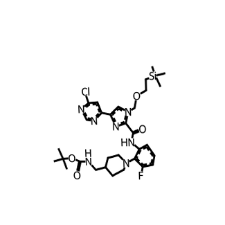 CC(C)(C)OC(=O)NCC1CCN(c2c(F)cccc2NC(=O)c2nc(-c3cc(Cl)ncn3)cn2COCC[Si](C)(C)C)CC1